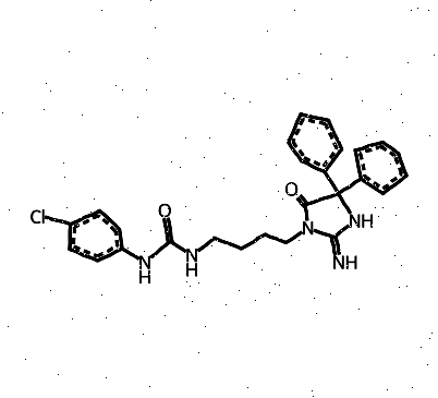 N=C1NC(c2ccccc2)(c2ccccc2)C(=O)N1CCCCNC(=O)Nc1ccc(Cl)cc1